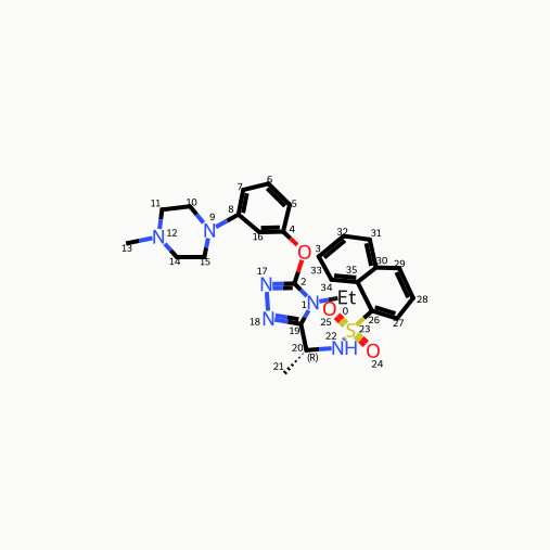 CCn1c(Oc2cccc(N3CCN(C)CC3)c2)nnc1[C@@H](C)NS(=O)(=O)c1cccc2ccccc12